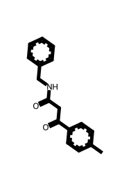 Cc1ccc(C(=O)CC(=O)NCc2ccccc2)cc1